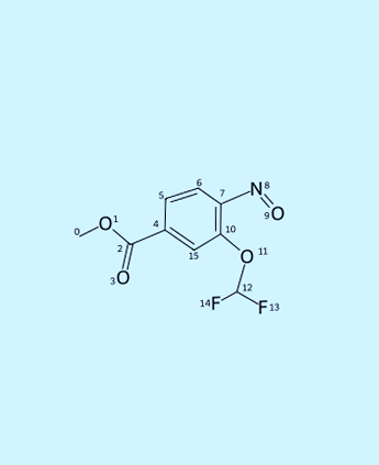 COC(=O)c1ccc(N=O)c(OC(F)F)c1